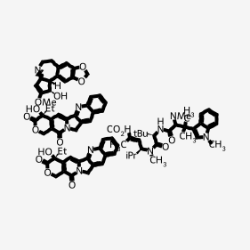 CC[C@@]1(O)C(=O)OCc2c1cc1n(c2=O)Cc2cc3ccccc3nc2-1.CC[C@@]1(O)C(=O)OCc2c1cc1n(c2=O)Cc2cc3ccccc3nc2-1.CNC(C(=O)N[C@H](C(=O)N(C)[C@H](/C=C(\C)C(=O)O)C(C)C)C(C)(C)C)C(C)(C)c1cn(C)c2ccccc12.COC1=C[C@]23CCCN2CCc2cc4c(cc2[C@@H]3[C@@H]1O)OCO4